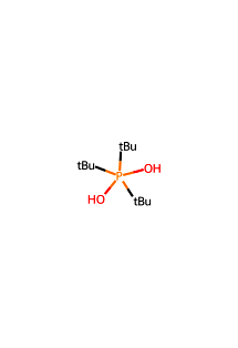 CC(C)(C)P(O)(O)(C(C)(C)C)C(C)(C)C